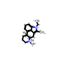 CCCN1CCC[C@@H]2c3cccc4c3c(c(C)n4CC#N)C[C@H]21